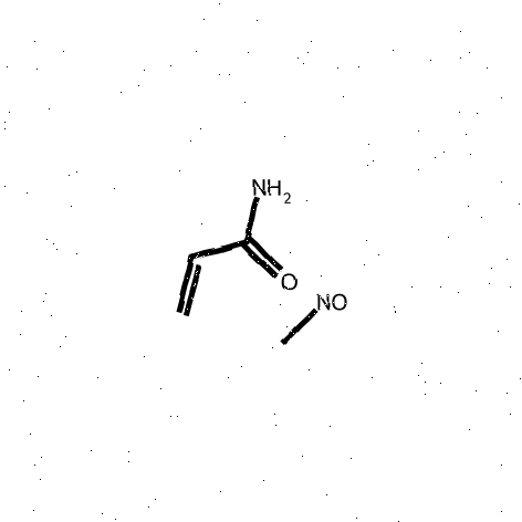 C=CC(N)=O.CN=O